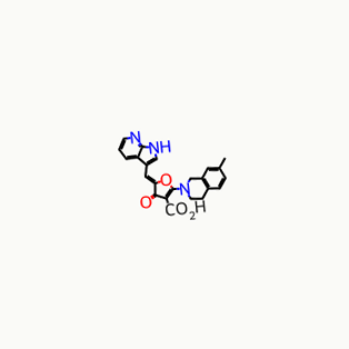 Cc1ccc2c(c1)CN(C1=C(C(=O)O)C(=O)C(=Cc3c[nH]c4ncccc34)O1)CC2